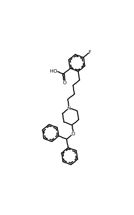 O=C(O)c1ccc(F)cc1CCCCN1CCC(OC(c2ccccc2)c2ccccc2)CC1